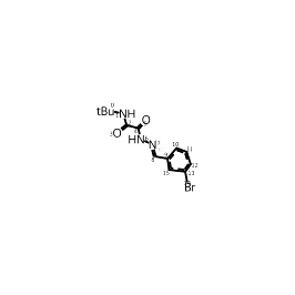 CC(C)(C)NC(=O)C(=O)N/N=C/c1cccc(Br)c1